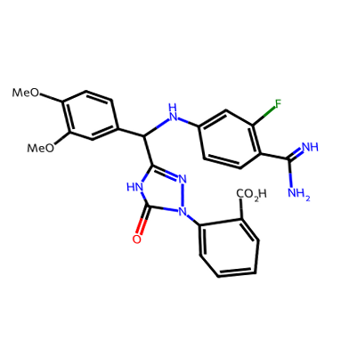 COc1ccc(C(Nc2ccc(C(=N)N)c(F)c2)c2nn(-c3ccccc3C(=O)O)c(=O)[nH]2)cc1OC